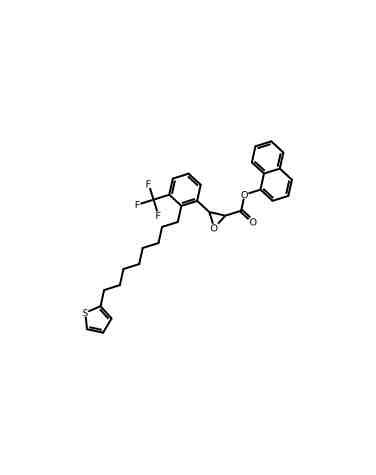 O=C(Oc1cccc2ccccc12)C1OC1c1cccc(C(F)(F)F)c1CCCCCCCCc1cccs1